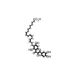 O=C(O)CCCCCCC/C=C\C/C=C\C/C=C\CCc1c(O)cc2oc(-c3ccc(O)c(O)c3)c(O)c(=O)c2c1O